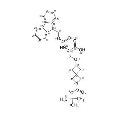 CC(C)(C)OC(=O)N1CC2(CC(OC[C@H](NC(=O)OCC3c4ccccc4-c4ccccc43)C(=O)O)C2)C1